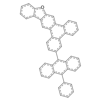 c1ccc(-c2c3ccccc3c(-c3ccc4c(c3)c3ccccc3c3cc5oc6ccccc6c5cc43)c3ccccc23)cc1